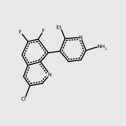 CCc1nc(N)ccc1-c1c(F)c(F)cc2cc(Cl)cnc12